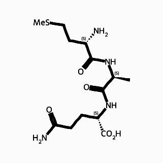 CSCC[C@H](N)C(=O)N[C@@H](C)C(=O)N[C@@H](CCC(N)=O)C(=O)O